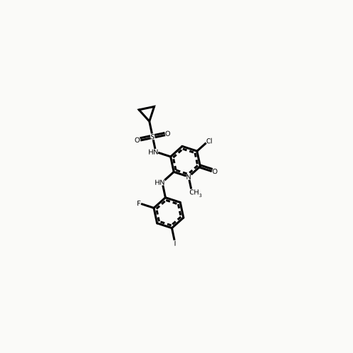 Cn1c(Nc2ccc(I)cc2F)c(NS(=O)(=O)C2CC2)cc(Cl)c1=O